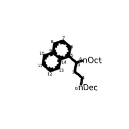 CCCCCCCCCCCCC(CCCCCCCC)c1cccc2ccccc12